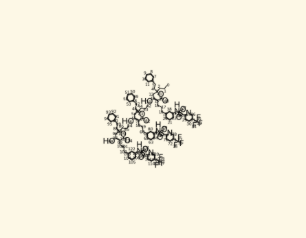 CCCC1(CCc2ccccc2)CC(O)=C(CCCc2cccc(NS(=O)(=O)c3ccc(C(F)(F)F)cn3)c2)C(=O)O1.CCC[C@]1(CCc2ccccc2)CC(O)=C(CCCc2cccc(NS(=O)(=O)c3ccc(C(F)(F)F)cn3)c2)C(=O)O1.CCC[C@]1(CCc2ccccc2)CC(O)=C(CCCc2cccc(NS(=O)(=O)c3ccc(C(F)(F)F)cn3)c2)C(=O)O1